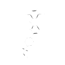 C=CS(=O)(=O)N1CCN(c2cccc(Nc3cc(Cl)c(Cl)cc3I)n2)CC1